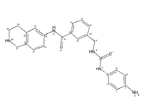 Nc1ccc(NC(=O)NCc2cccc(C(=O)Nc3ccc4c(c3)CCNC4)c2)cc1